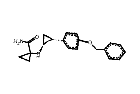 NC(=O)C1(N[C@H]2C[C@@H]2c2ccc(OCc3ccccc3)cc2)CC1